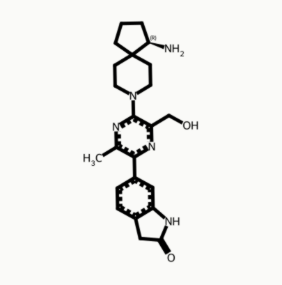 Cc1nc(N2CCC3(CCC[C@H]3N)CC2)c(CO)nc1-c1ccc2c(c1)NC(=O)C2